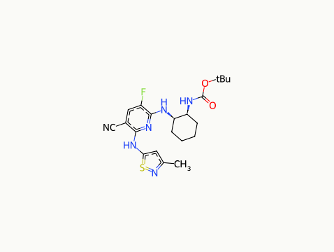 Cc1cc(Nc2nc(N[C@@H]3CCCC[C@@H]3NC(=O)OC(C)(C)C)c(F)cc2C#N)sn1